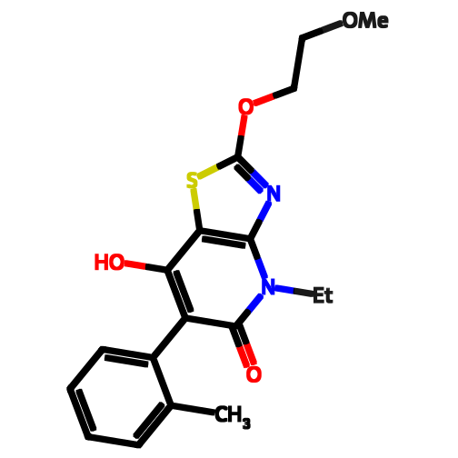 CCn1c(=O)c(-c2ccccc2C)c(O)c2sc(OCCOC)nc21